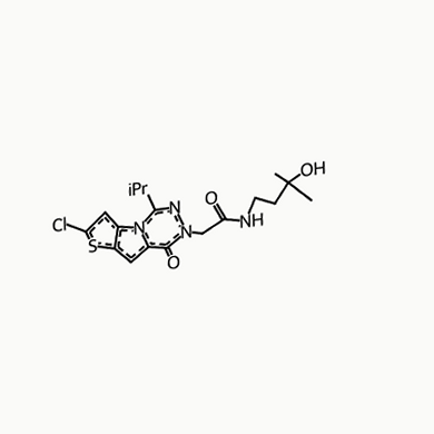 CC(C)c1nn(CC(=O)NCCC(C)(C)O)c(=O)c2cc3sc(Cl)cc3n12